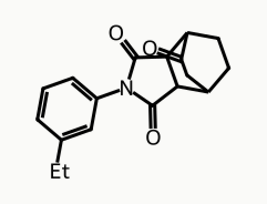 CCc1cccc(N2C(=O)C3C4CCC(C(=O)C4)C3C2=O)c1